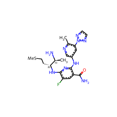 CSCC[C@@H](Nc1nc(Nc2cnc(C)c(-n3nccn3)c2)c(C(N)=O)cc1F)[C@H](C)N